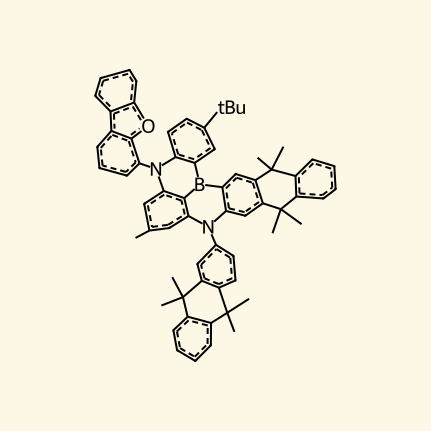 Cc1cc2c3c(c1)N(c1cccc4c1oc1ccccc14)c1ccc(C(C)(C)C)cc1B3c1cc3c(cc1N2c1ccc2c(c1)C(C)(C)c1ccccc1C2(C)C)C(C)(C)c1ccccc1C3(C)C